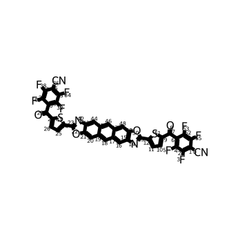 N#Cc1c(F)c(F)c(C(=O)c2ccc(-c3nc4cc5cc6cc7oc(-c8ccc(C(=O)c9c(F)c(F)c(C#N)c(F)c9F)s8)nc7cc6cc5cc4o3)s2)c(F)c1F